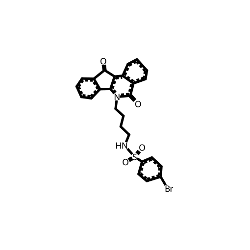 O=C1c2ccccc2-c2c1c1ccccc1c(=O)n2CCCCNS(=O)(=O)c1ccc(Br)cc1